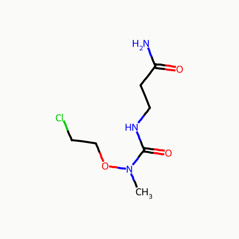 CN(OCCCl)C(=O)NCCC(N)=O